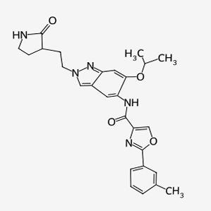 Cc1cccc(-c2nc(C(=O)Nc3cc4cn(CCC5CCNC5=O)nc4cc3OC(C)C)co2)c1